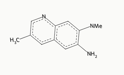 CNc1cc2ncc(C)cc2cc1N